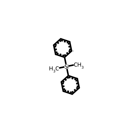 C[Si](C)(c1[c]cccc1)c1ccccc1